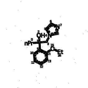 CCCC(O)(Cn1ccnc1)c1ccccc1OCC